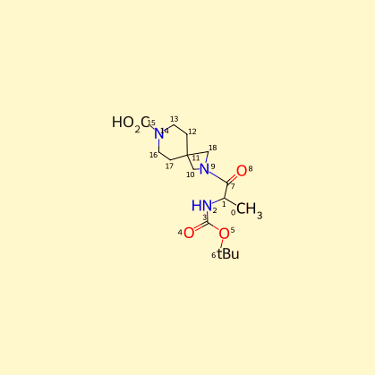 CC(NC(=O)OC(C)(C)C)C(=O)N1CC2(CCN(C(=O)O)CC2)C1